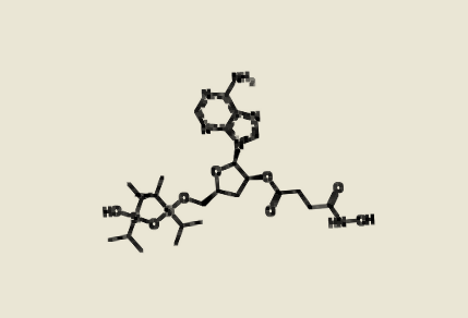 CC(C)[Si](O)(O[Si](OC[C@@H]1C[C@H](OC(=O)CCC(=O)NO)[C@H](n2cnc3c(N)ncnc32)O1)(C(C)C)C(C)C)C(C)C